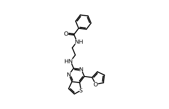 O=C(NCCNc1nc(-c2ccco2)c2sccc2n1)c1ccccc1